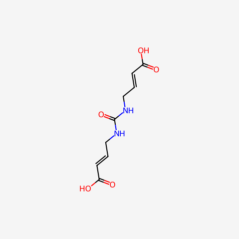 O=C(O)C=CCNC(=O)NCC=CC(=O)O